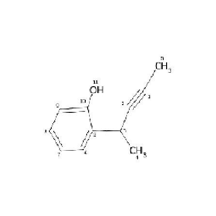 CC#CC(C)c1ccccc1O